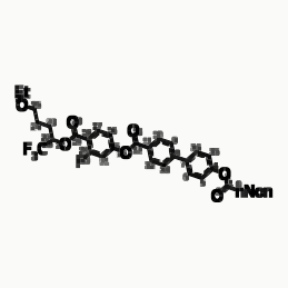 CCCCCCCCCC(=O)Oc1ccc(-c2ccc(C(=O)Oc3ccc(C(=O)OC(CCCOCC)C(F)(F)F)c(F)c3)cc2)cc1